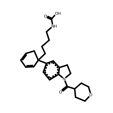 O=C(O)NCCCCC1(c2ccc3c(c2)CCN3C(=O)C2CCOCC2)C=CC=CC1